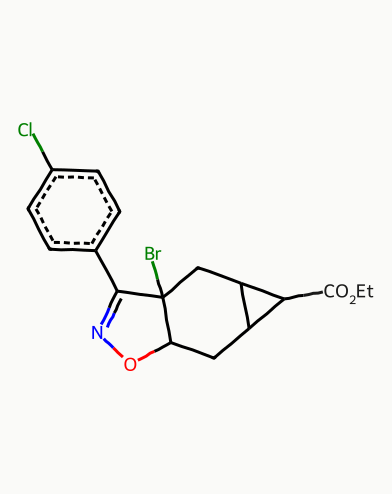 CCOC(=O)C1C2CC3ON=C(c4ccc(Cl)cc4)C3(Br)CC21